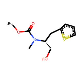 CN(C(=O)OC(C)(C)C)[C@@H](CO)Cc1cccs1